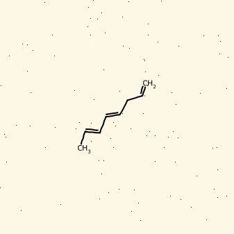 C=[C]CC=CC=CC